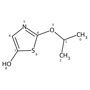 CC(C)Oc1ncc(O)s1